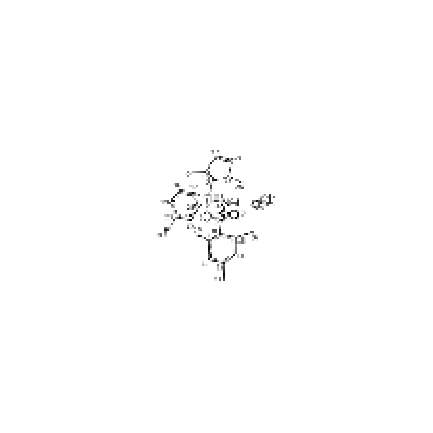 CC1=[C]([Ti+2]2([NH]S(=O)(=O)c3c(C)cc(C)cc3C)[c]3ccc(F)c[c]32)C(C)C=C1.[Cl-].[Cl-]